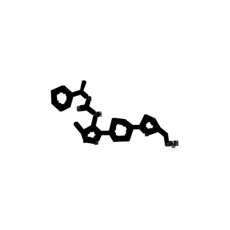 Cc1nsc(-c2ccc(-c3ccc(CC(=O)O)s3)cc2)c1NC(=O)O[C@H](C)c1ccccc1